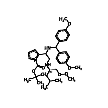 COOC[C@H](CC(C)C)NCC(NC(c1ccc(OC)cc1)c1ccc(OC)cc1)c1cccn1C(=O)OC(C)(C)C